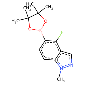 Cn1ncc2c(F)c(B3OC(C)(C)C(C)(C)O3)ccc21